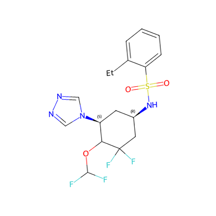 CCc1ccccc1S(=O)(=O)N[C@@H]1C[C@H](n2cnnc2)C(OC(F)F)C(F)(F)C1